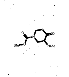 CNC1CN(C(=O)OC(C)(C)C)CCC1=O